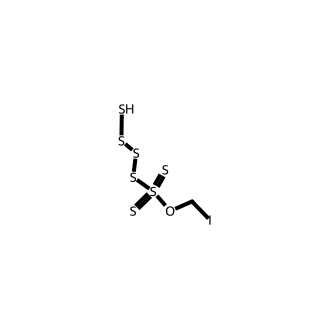 S=S(=S)(OCI)SSSS